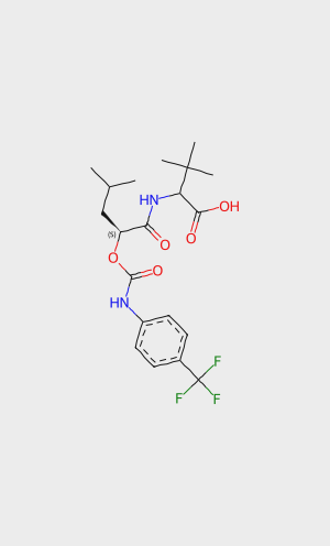 CC(C)C[C@H](OC(=O)Nc1ccc(C(F)(F)F)cc1)C(=O)NC(C(=O)O)C(C)(C)C